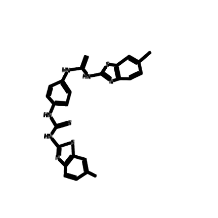 C=C(Nc1ccc(NC(=S)Nc2nc3ccc(C)cc3s2)cc1)Nc1nc2ccc(C)cc2s1